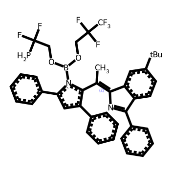 C/C(=C1/N=C(c2ccccc2)c2ccc(C(C)(C)C)cc21)c1c(-c2ccccc2)cc(-c2ccccc2)n1B(OCC(F)(F)P)OCC(F)(F)C(F)(F)F